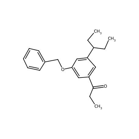 CCC(=O)c1cc(OCc2ccccc2)cc(C(CC)CC)c1